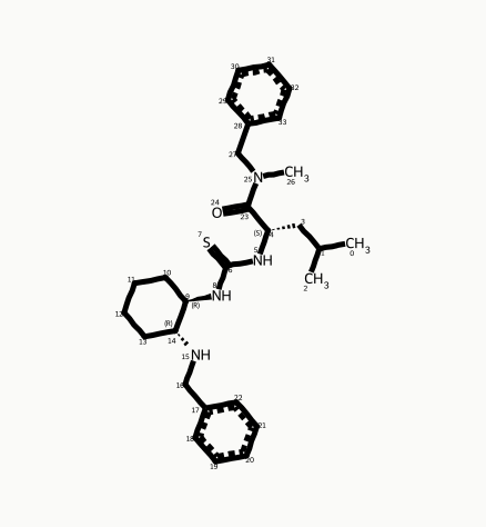 CC(C)C[C@H](NC(=S)N[C@@H]1CCCC[C@H]1NCc1ccccc1)C(=O)N(C)Cc1ccccc1